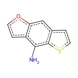 Nc1c2ccoc2cc2ccsc12